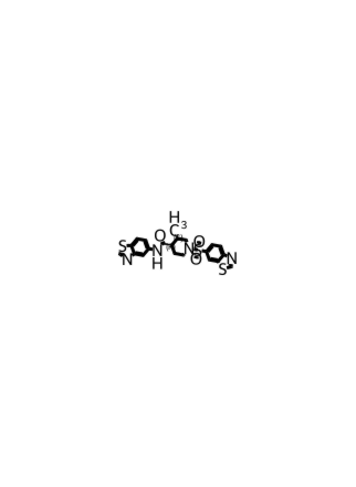 C[C@@H]1CN(S(=O)(=O)c2ccc3ncsc3c2)CC[C@H]1C(=O)Nc1ccc2scnc2c1